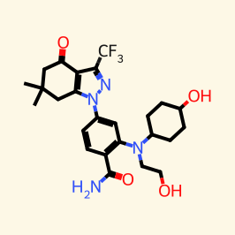 CC1(C)CC(=O)c2c(C(F)(F)F)nn(-c3ccc(C(N)=O)c(N(CCO)C4CCC(O)CC4)c3)c2C1